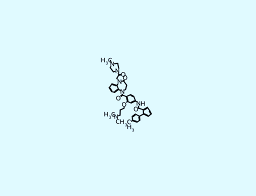 Cc1ccc(-c2ccccc2C(=O)Nc2ccc(C(=O)N3CCC(=O)N(CC(=O)N4CCN(C)CC4)c4ccccc43)c(OCCCN(C)C)c2)cc1